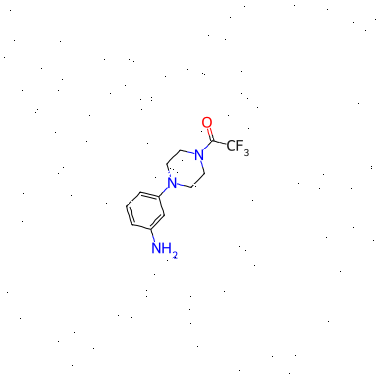 Nc1cccc(N2CCN(C(=O)C(F)(F)F)CC2)c1